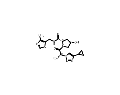 Cc1nnsc1CNC(=O)[C@@H]1C[C@@H](O)CN1C(=O)[C@@H](n1cc(C2CC2)nn1)C(C)(C)C